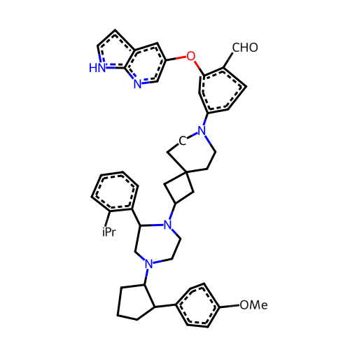 COc1ccc(C2CCCC2N2CCN(C3CC4(CCN(c5ccc(C=O)c(Oc6cnc7[nH]ccc7c6)c5)CC4)C3)C(c3ccccc3C(C)C)C2)cc1